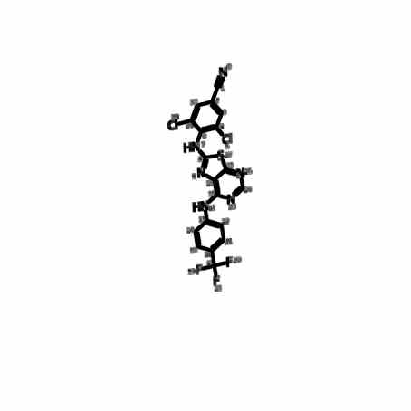 N#Cc1cc(Cl)c(Nc2nc3c(Nc4ccc(C(F)(F)F)cc4)ncnc3s2)c(Cl)c1